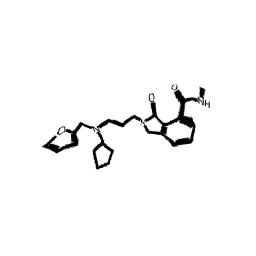 CNC(=O)c1cccc2c1C(=O)N(CCCN(Cc1ccco1)C1CCCC1)C2